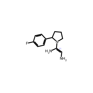 N/C=C(\N)N1CCCC1c1ccc(F)cc1